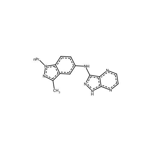 CCCn1nc(C)c2cc(Nc3n[nH]c4nccnc34)ccc21